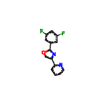 Fc1cc(F)cc(-c2nc(-c3ccccn3)co2)c1